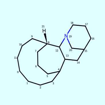 C1CCCC2CCC[C@H](CCC1)C1C2CC2CCCN1C2